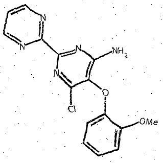 COc1ccccc1Oc1c(N)nc(-c2ncccn2)nc1Cl